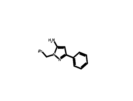 CC(C)Cn1nc(-c2ccccc2)cc1N